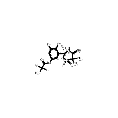 CC(F)(F)C(=O)Nc1cc(F)c(F)c([C@]2(C)CS(=O)(=O)C(C)(C)C(=N)N2)c1